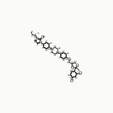 CC[C@H](C)n1ncn(-c2ccc(N3CCN(c4ccc(OC[C@H]5CO[C@](C)(c6ccc(Cl)cc6Cl)O5)cc4)CC3)cc2)c1=O